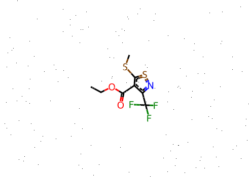 CCOC(=O)c1c(C(F)(F)F)nsc1SC